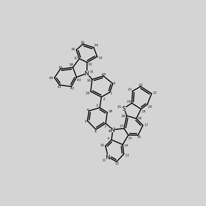 c1cc(-c2cccc(-n3c4cnccc4c4ccc5c6ccccc6sc5c43)c2)cc(-n2c3ccccc3c3ccccc32)c1